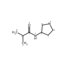 CC(C)C(=O)NC1CC[N]C1